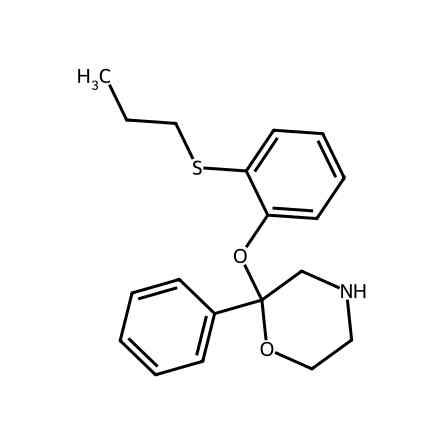 CCCSc1ccccc1OC1(c2ccccc2)CNCCO1